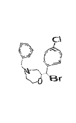 Clc1ccc(C(Br)[C@H]2CN(Cc3ccccc3)CCO2)cc1